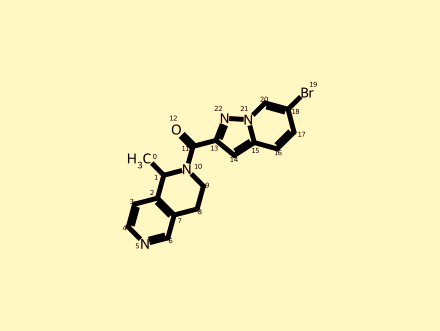 CC1c2ccncc2CCN1C(=O)c1cc2ccc(Br)cn2n1